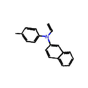 C=CN(c1ccc(C)cc1)c1ccc2ccccc2c1